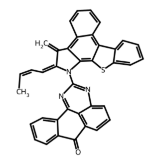 C=c1/c(=C\C=C/C)n(-c2nc3c4c(cccc4n2)C(=O)c2ccccc2-3)c2c3sc4ccccc4c3c3ccccc3c12